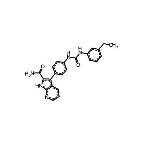 CCc1cccc(NC(=O)Nc2ccc(-c3c(C(N)=O)[nH]c4ncccc34)cc2)c1